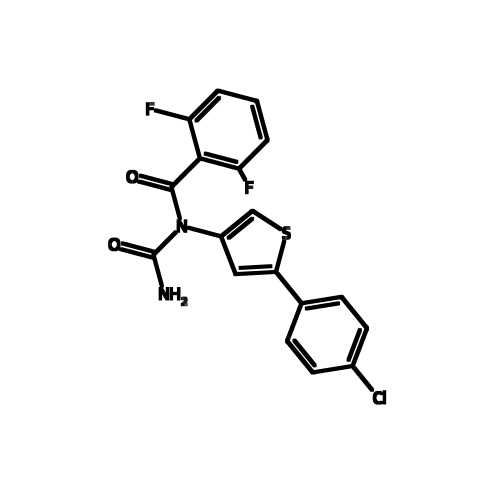 NC(=O)N(C(=O)c1c(F)cccc1F)c1csc(-c2ccc(Cl)cc2)c1